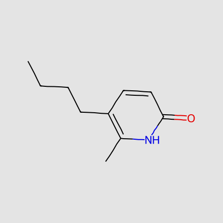 CCCCc1ccc(=O)[nH]c1C